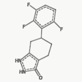 O=c1[nH][nH]c2c1CCC(c1c(F)ccc(F)c1F)C2